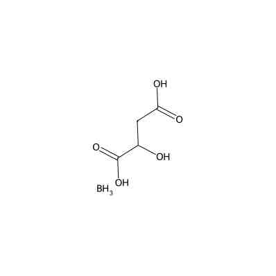 B.O=C(O)CC(O)C(=O)O